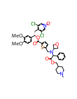 COc1ccc([C@H](Cc2c(Cl)c[n+]([O-])cc2Cl)OC(=O)c2ccc(CN(C3COC3)C(C(=O)OCC3CCN(C)CC3)c3ccccc3)s2)cc1OC